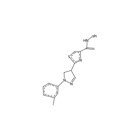 C=C(NCCC)c1csc(C2C=NN(c3cccc(C)c3)C2)n1